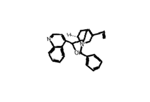 C=CC1C[N+]2(Cc3ccccc3)CCC1C[C@@H]2C(O)c1ccnc2ccccc12